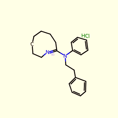 Cl.c1ccc(CCN(/C2=N\CCCCCCC2)c2ccccc2)cc1